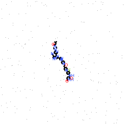 CC(C)CC(=O)N1CCN(c2ccc(-c3nc(-c4cnn(C5CCN(C(=O)CC6CCN(c7ccc(NC8CCC(=O)NC8=O)cc7F)CC6)CC5)c4)cn4ncc(C#N)c34)cn2)CC1